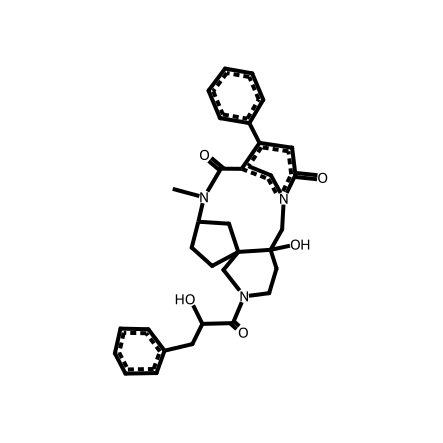 CN1C(=O)c2cn(c(=O)cc2-c2ccccc2)CC2(O)CCN(C(=O)C(O)Cc3ccccc3)CC23CCC1C3